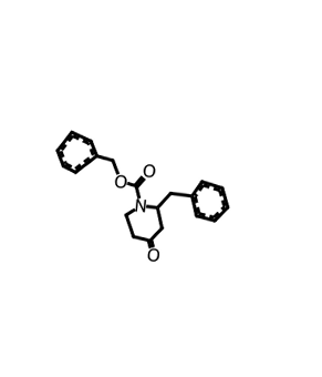 O=C1CCN(C(=O)OCc2ccccc2)C(Cc2ccccc2)C1